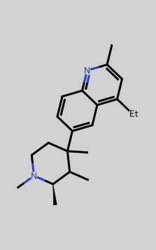 CCc1cc(C)nc2ccc(C3(C)CCN(C)[C@H](C)C3C)cc12